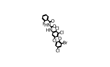 O=C(NC(=O)c1ccccc1F)Nc1cc(Cl)c(Oc2ccc(Cl)cc2Br)c(Cl)c1Cl